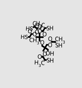 CC(S)C(=O)OCC(CO)(COCC(COC(=O)C(C)S)(COC(=O)C(C)S)COC(=O)C(C)S)COC(=O)C(C)S